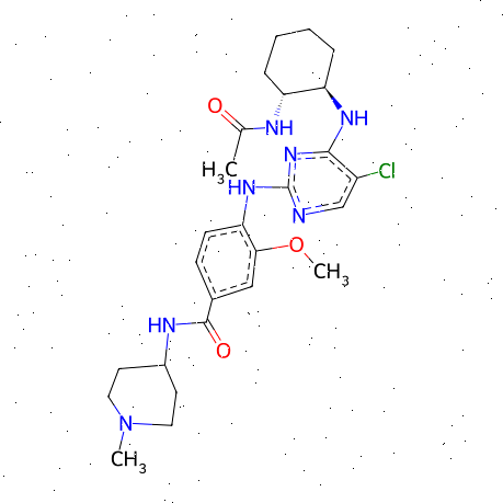 COc1cc(C(=O)NC2CCN(C)CC2)ccc1Nc1ncc(Cl)c(N[C@@H]2CCCC[C@H]2NC(C)=O)n1